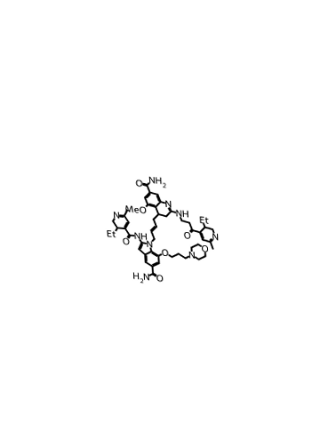 CCC1CN=C(C)C=C1C(=O)CCNC1=Nc2cc(C(N)=O)cc(OC)c2C(C/C=C/Cn2c(NC(=O)C3=CC(C)=NCC3CC)cc3cc(C(N)=O)cc(OCCCN4CCOCC4)c32)C1